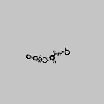 CC1CCCCN1CCCNC(=O)c1ccc(OC2CCN(S(=O)(=O)c3ccc(-c4ccccc4)cc3)CC2)c(Cl)c1